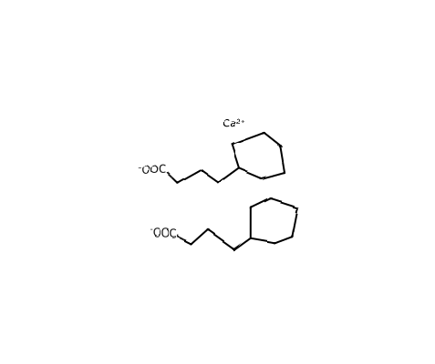 O=C([O-])CCCC1CCCCC1.O=C([O-])CCCC1CCCCC1.[Ca+2]